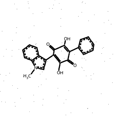 Cn1cc(C2=C(O)C(=O)C(c3ccccc3)=C(O)C2=O)c2ccccc21